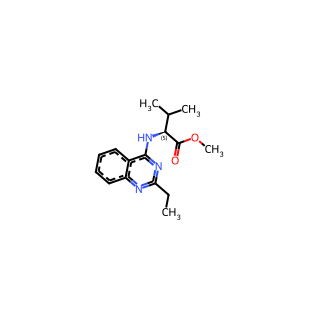 CCc1nc(N[C@H](C(=O)OC)C(C)C)c2ccccc2n1